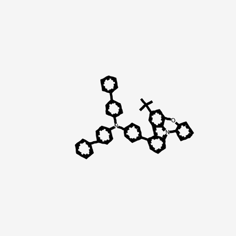 CC(C)(C)c1cc2c3c(c1)c1c(-c4ccc(N(c5ccc(-c6ccccc6)cc5)c5ccc(-c6ccccc6)cc5)cc4)cccc1n3-c1ccccc1O2